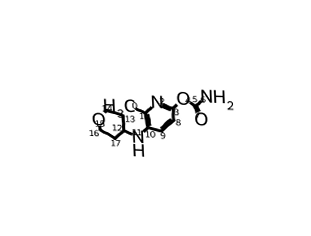 Cc1nc(OC(N)=O)ccc1NC1CCOCC1